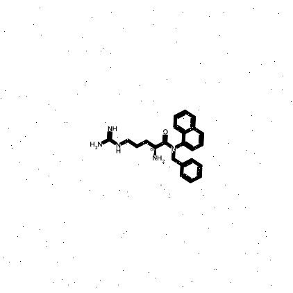 N=C(N)NCCC[C@H](N)C(=O)N(Cc1ccccc1)c1cccc2ccccc12